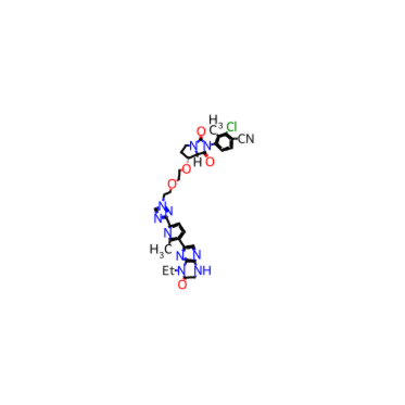 CCN1C(=O)CNc2ncc(-c3ccc(-c4ncn(CCOCCO[C@@H]5CCN6C(=O)N(c7ccc(C#N)c(Cl)c7C)C(=O)[C@H]56)n4)nc3C)nc21